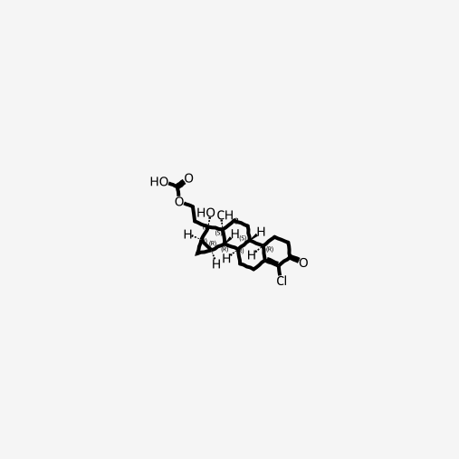 C[C@]12CC[C@H]3[C@@H](CCC4=C(Cl)C(=O)CC[C@@H]43)[C@@H]1[C@H]1C[C@H]1[C@@]2(O)CCOC(=O)O